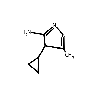 CC1=NN=C(N)C1C1CC1